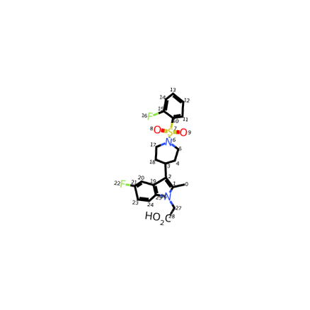 Cc1c(C2CCN(S(=O)(=O)c3ccccc3F)CC2)c2cc(F)ccc2n1CC(=O)O